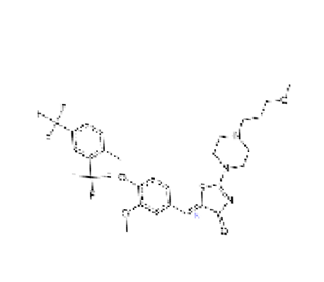 COCCCN1CCN(C2=NC(=O)/C(=C/c3ccc(OCc4ccc(C(F)(F)F)cc4C(F)(F)F)c(OC)c3)S2)CC1